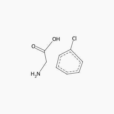 Clc1ccccc1.NCC(=O)O